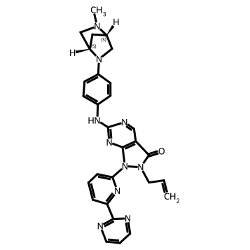 C=CCn1c(=O)c2cnc(Nc3ccc(N4C[C@@H]5C[C@H]4CN5C)cc3)nc2n1-c1cccc(-c2ncccn2)n1